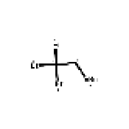 [CH2]CC(CC)(CC)CCCCC